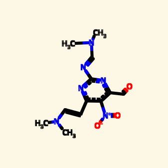 CN(C)C=Cc1nc(N=CN(C)C)nc(C=O)c1[N+](=O)[O-]